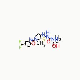 C[C@H](CO)NC(=O)Nc1nc2c(s1)[C@H](C)N(c1nc3cc(C(F)F)ccc3o1)CC2